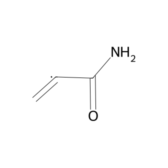 C=[C]C(N)=O